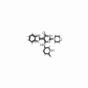 CC1CCC(Nc2nc(N3CCOCC3)[nH]c(=O)c2-c2nc3ccccc3s2)CN1